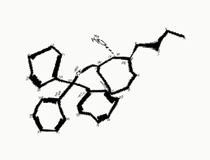 CCCC[C@H]1CCC[C@@H](OC(c2ccccc2)(c2ccccc2)c2ccccc2)[C@@H]1O